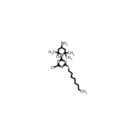 CCCCCCCCSc1nc(Cl)nc(N2C(C)(C)CC(N)CC2(C)C)n1